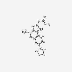 CCN(C)Cc1nc2c(N)nc3cc(C4=CCCC4)ccc3c2[nH]1